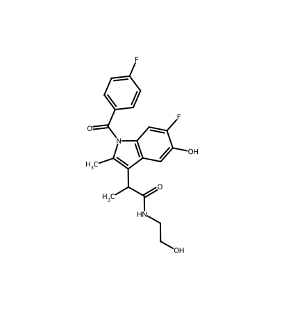 Cc1c(C(C)C(=O)NCCO)c2cc(O)c(F)cc2n1C(=O)c1ccc(F)cc1